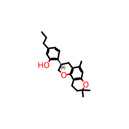 CCCc1ccc([C@@H]2COc3c(c(C)cc4c3CCC(C)(C)O4)C2)c(O)c1